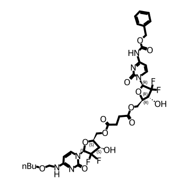 CCCCOCNc1ccn([C@H]2O[C@@H](COC(=O)CCC(=O)OC[C@H]3O[C@@H](n4ccc(NC(=O)OCc5ccccc5)nc4=O)C(F)(F)[C@@H]3O)[C@H](O)C2(F)F)c(=O)n1